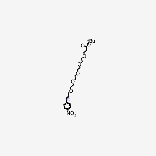 CC(C)(C)OC(=O)CCOCCOCCOCCOCCOC/C=C/c1ccc([N+](=O)[O-])cc1